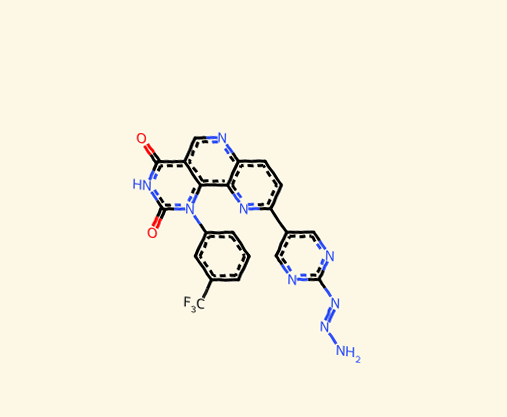 NN=Nc1ncc(-c2ccc3ncc4c(=O)[nH]c(=O)n(-c5cccc(C(F)(F)F)c5)c4c3n2)cn1